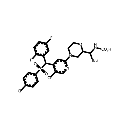 CC(C)(C)C(NC(=O)O)C1CN(c2cc(C(c3cc(F)ccc3F)S(=O)(=O)c3ccc(Cl)cc3)c(Cl)cn2)CCO1